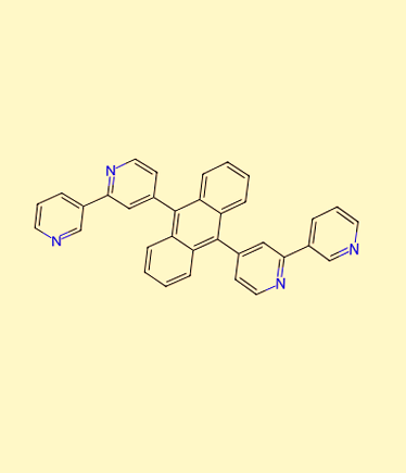 c1cncc(-c2cc(-c3c4ccccc4c(-c4ccnc(-c5cccnc5)c4)c4ccccc34)ccn2)c1